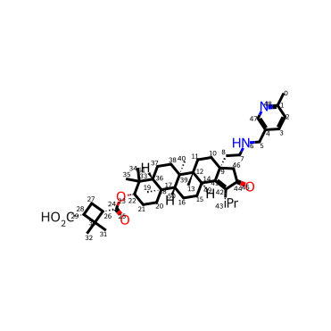 Cc1ccc(CNCC[C@@]23CC[C@]4(C)[C@H](CC[C@@H]5[C@@]6(C)CC[C@H](OC(=O)[C@H]7C[C@@H](C(=O)O)C7(C)C)C(C)(C)[C@@H]6CC[C@]54C)C2=C(C(C)C)C(=O)C3)cn1